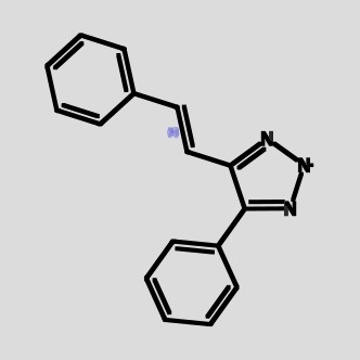 C(=C\c1ccccc1)/C1=N[N]N=C1c1ccccc1